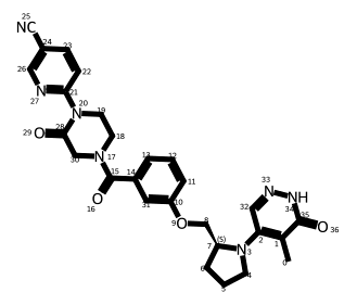 Cc1c(N2CCC[C@H]2COc2cccc(C(=O)N3CCN(c4ccc(C#N)cn4)C(=O)C3)c2)cn[nH]c1=O